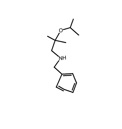 CC(C)OC(C)(C)CNCc1ccccc1